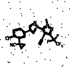 C#Cc1c(C(F)(F)C(F)(F)F)nn(C)c1-n1cc(-c2ccc(Cl)c(C3(C#N)CC3)c2)cn1